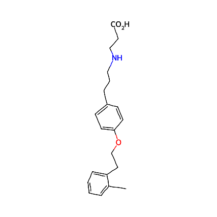 Cc1ccccc1CCOc1ccc(CCCNCCC(=O)O)cc1